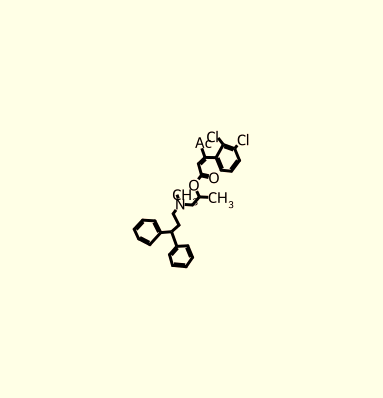 CC(=O)C(=CC(=O)OC(C)CN(C)CCC(c1ccccc1)c1ccccc1)c1cccc(Cl)c1Cl